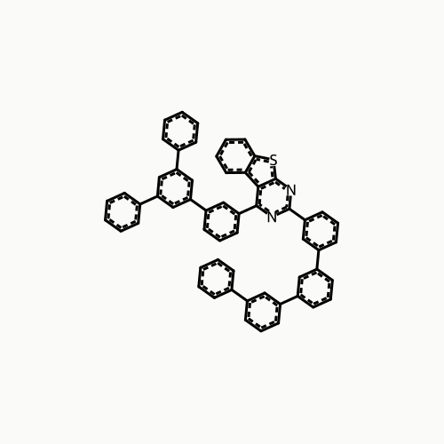 c1ccc(-c2cccc(-c3cccc(-c4cccc(-c5nc(-c6cccc(-c7cc(-c8ccccc8)cc(-c8ccccc8)c7)c6)c6c(n5)sc5ccccc56)c4)c3)c2)cc1